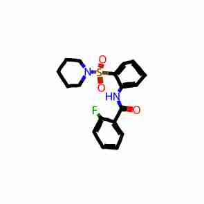 O=C(Nc1ccccc1S(=O)(=O)N1CCCCC1)c1ccccc1F